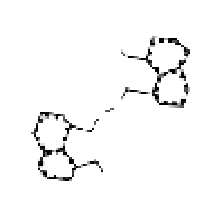 OCc1cccc2cccc(CSSCc3cccc4cccc(CO)c34)c12